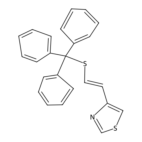 C(=Cc1cscn1)SC(c1ccccc1)(c1ccccc1)c1ccccc1